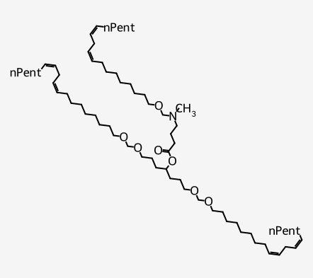 CCCCC/C=C\C/C=C\CCCCCCCCOCOCCCC(CCCOCOCCCCCCCC/C=C\C/C=C\CCCCC)OC(=O)CCCN(C)COCCCCCCCC/C=C\C/C=C\CCCCC